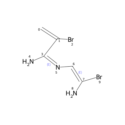 C=C(Br)/C(N)=N\C=C(/N)Br